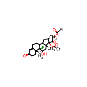 CCC(=O)OCC(=O)C1(OC(=O)CC)C(C)CC2C3CCC4=CC(=O)CCC4(C)C3(F)C(O)CC21C